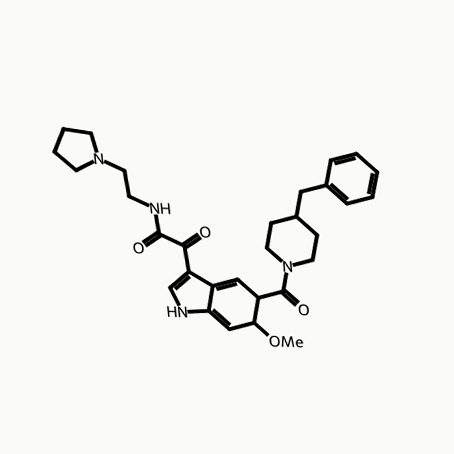 COC1C=c2[nH]cc(C(=O)C(=O)NCCN3CCCC3)c2=CC1C(=O)N1CCC(Cc2ccccc2)CC1